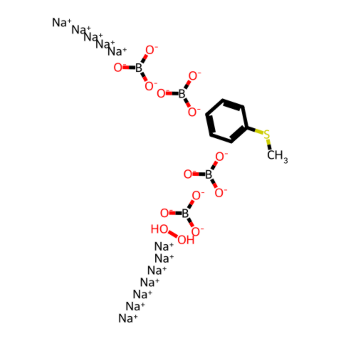 CSc1ccccc1.OO.[Na+].[Na+].[Na+].[Na+].[Na+].[Na+].[Na+].[Na+].[Na+].[Na+].[Na+].[Na+].[O-]B([O-])[O-].[O-]B([O-])[O-].[O-]B([O-])[O-].[O-]B([O-])[O-]